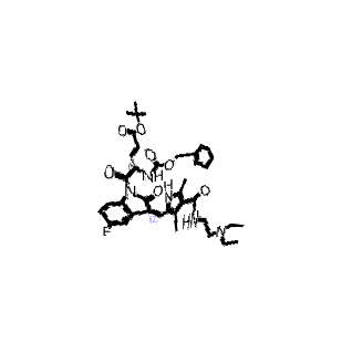 CCN(CC)CCNC(=O)c1c(C)[nH]c(/C=C2\C(=O)N(C(=O)[C@H](CCC(=O)OC(C)(C)C)NC(=O)OCc3ccccc3)c3ccc(F)cc32)c1C